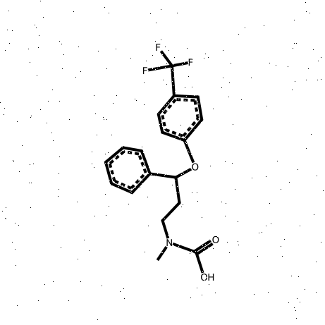 CN(CCC(Oc1ccc(C(F)(F)F)cc1)c1ccccc1)C(=O)O